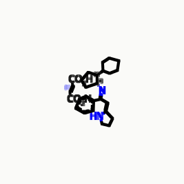 C(=C1CCCN1)C(=N[C@@H]1CCC[C@H]1C1CCCCC1)c1ccccc1.O=C(O)/C=C/C(=O)O